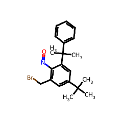 CC(C)(C)c1cc(CBr)c(N=O)c(C(C)(C)c2ccccc2)c1